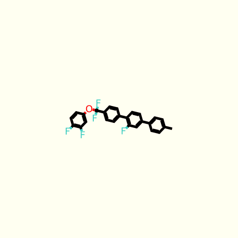 Cc1ccc(-c2ccc(-c3ccc(C(F)(F)Oc4ccc(F)c(F)c4)cc3)c(F)c2)cc1